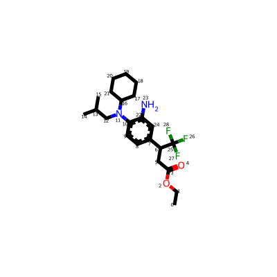 CCOC(=O)CC(c1ccc(N(CC(C)C)C2CCCCC2)c(N)c1)C(F)(F)F